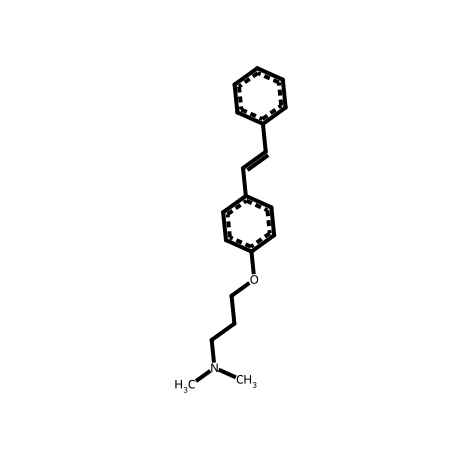 CN(C)CCCOc1ccc(C=Cc2ccccc2)cc1